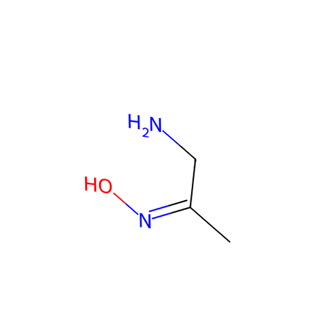 CC(CN)=NO